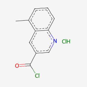 Cc1cccc2ncc(C(=O)Cl)cc12.Cl